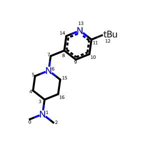 CN(C)C1CCN(Cc2ccc(C(C)(C)C)nc2)CC1